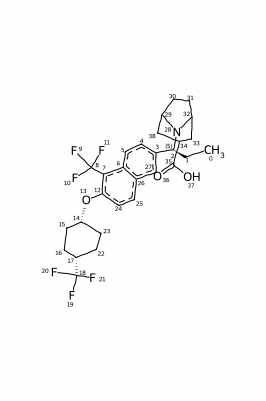 CC[C@@H](c1ccc2c(C(F)(F)F)c(O[C@H]3CC[C@@H](C(F)(F)F)CC3)ccc2c1)N1C2CCC1CC(C(=O)O)C2